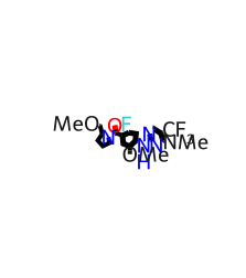 CNc1nc(Nc2cc(F)c(C(=O)N3CCCC3COC)cc2OC)ncc1C(F)(F)F